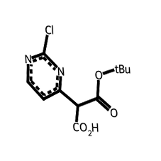 CC(C)(C)OC(=O)C(C(=O)O)c1ccnc(Cl)n1